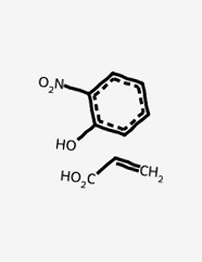 C=CC(=O)O.O=[N+]([O-])c1ccccc1O